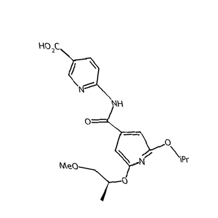 COC[C@H](C)Oc1cc(C(=O)Nc2ccc(C(=O)O)cn2)cc(OC(C)C)n1